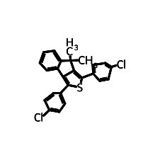 CC1(C)c2ccccc2-c2c(-c3ccc(Cl)cc3)sc(-c3ccc(Cl)cc3)c21